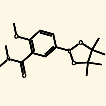 COc1ccc(B2OC(C)(C)C(C)(C)O2)cc1C(=O)N(C)C